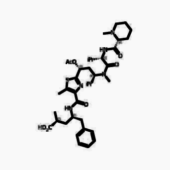 CC(=O)O[C@H](C[C@H](C(C)C)N(C)C(=O)[C@@H](NC(=O)[C@H]1CCCCN1C)C(C)C)c1nc(C(=O)N[C@@H](Cc2ccccc2)C[C@H](C)C(=O)O)c(C)s1